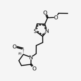 CCOC(=O)c1csc(CCCN2C(=O)CC[C@@H]2C=O)n1